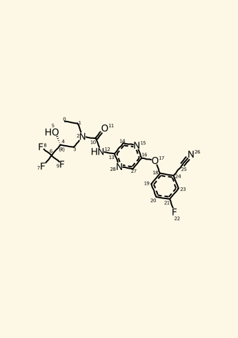 CCN(C[C@@H](O)C(F)(F)F)C(=O)Nc1cnc(Oc2ccc(F)cc2C#N)cn1